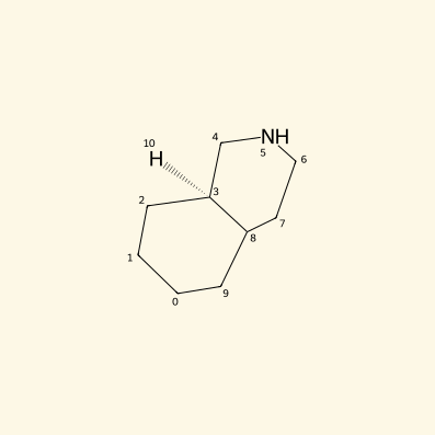 C1CC[C@H]2CNCCC2C1